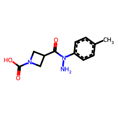 Cc1ccc(N(N)C(=O)C2CN(C(=O)O)C2)cc1